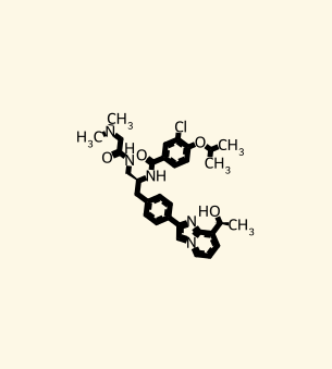 CC(C)Oc1ccc(C(=O)N[C@H](CNC(=O)CN(C)C)Cc2ccc(-c3cn4cccc([C@H](C)O)c4n3)cc2)cc1Cl